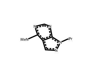 CNc1ncnc2c1cnn2C(C)C